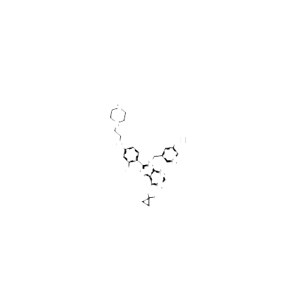 Cc1cncc(Cn2c(-c3ccc(OCCN4CCNCC4)cc3Cl)nc3c(OC4(C)CC4)ncnc32)c1